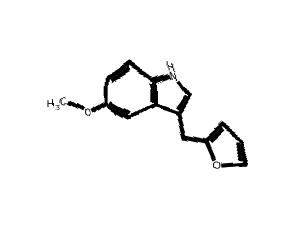 COc1ccc2[nH]cc(Cc3ccco3)c2c1